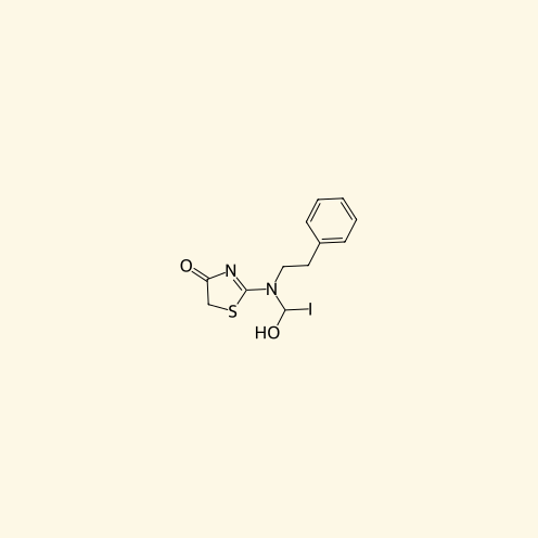 O=C1CSC(N(CCc2ccccc2)C(O)I)=N1